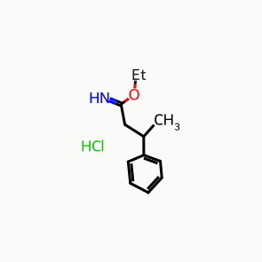 CCOC(=N)CC(C)c1ccccc1.Cl